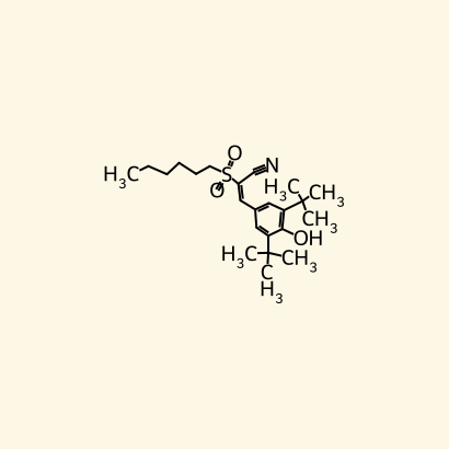 CCCCCCS(=O)(=O)/C(C#N)=C/c1cc(C(C)(C)C)c(O)c(C(C)(C)C)c1